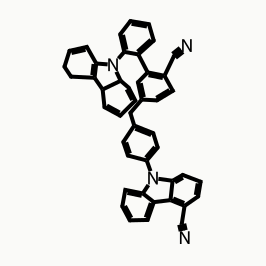 N#Cc1ccc(Cc2ccc(-n3c4ccccc4c4c(C#N)cccc43)cc2)cc1-c1ccccc1N1C2=C(CCC=C2)C2C=CC=CC21